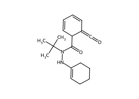 CC(C)(C)N(NC1=CCCCC1)C(=O)C1C=CC=CC1=C=O